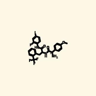 COc1ccc([C@@H](N)C(=O)NC(Cc2ccccc2C(F)(F)F)C(=O)Nc2ccc(I)cc2F)cc1